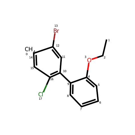 C.CCOc1ccccc1-c1cc(Br)ccc1Cl